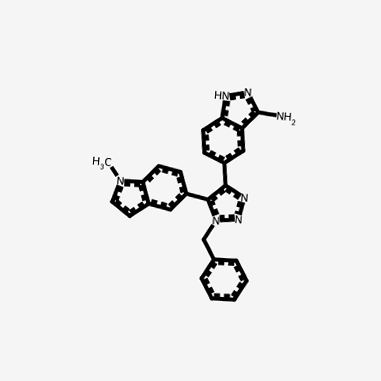 Cn1ccc2cc(-c3c(-c4ccc5[nH]nc(N)c5c4)nnn3Cc3ccccc3)ccc21